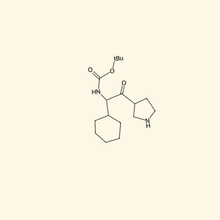 CC(C)(C)OC(=O)NC(C(=O)C1CCNC1)C1CCCCC1